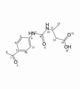 CC(=O)c1ccc(NC(=O)NC(C)CC(=O)O)cc1